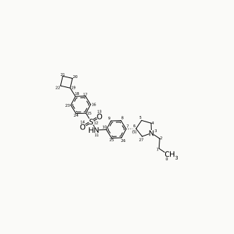 CCCN1CC[C@@H](c2ccc(NS(=O)(=O)c3ccc(C4CCC4)cc3)cc2)C1